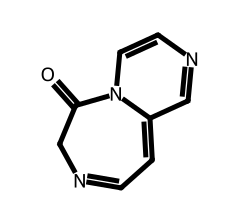 O=C1CN=CC=C2C=NC=CN12